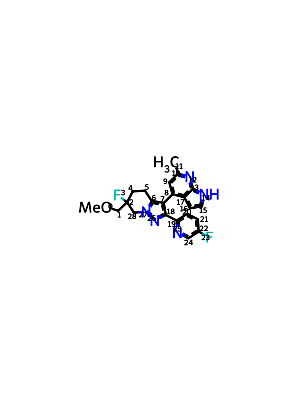 COCC1(F)CCc2c(-c3cc(C)nc4[nH]ccc34)c(-c3ccc(F)cn3)nn2C1